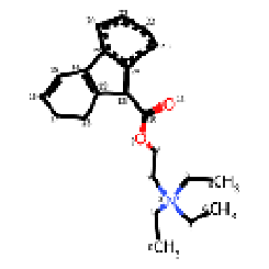 CC[N+](CC)(CC)CCOC(=O)C1C2=C(C=CCC2)c2ccccc21